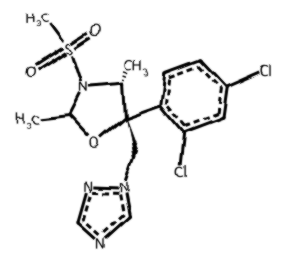 CC1O[C@@](Cn2cncn2)(c2ccc(Cl)cc2Cl)[C@@H](C)N1S(C)(=O)=O